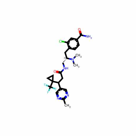 Cc1ncc(C(CC(=O)NC[C@H](Cc2ccc(C(N)=O)cc2Cl)N(C)C)C2(C(F)(F)F)CC2)cn1